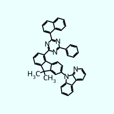 CC1(C)c2cc(-n3c4ccccc4c4cccnc43)ccc2-c2c(-c3nc(-c4ccccc4)nc(-c4cccc5ccccc45)n3)cccc21